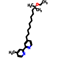 CCO[Si](C)(C)CCCCCCCCCc1ccnc(-c2cc(C)ccn2)c1